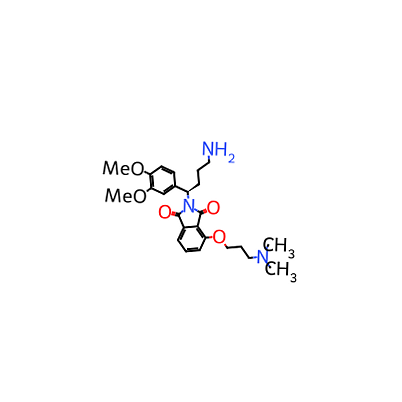 COc1ccc([C@@H](CCCN)N2C(=O)c3cccc(OCCCN(C)C)c3C2=O)cc1OC